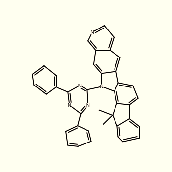 CC1(C)c2ccccc2-c2ccc3c4cc5ccncc5cc4n(-c4nc(-c5ccccc5)nc(-c5ccccc5)n4)c3c21